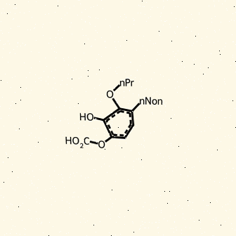 CCCCCCCCCc1ccc(OC(=O)O)c(O)c1OCCC